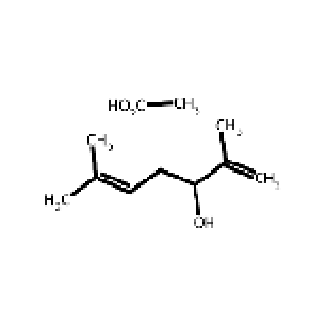 C=C(C)C(O)CC=C(C)C.CC(=O)O